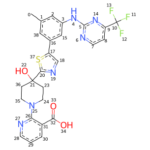 Cc1cc(Nc2nccc(C(F)(F)F)n2)cc(-c2cnc(C3(O)CCN(c4ncccc4C(=O)O)CC3)s2)c1